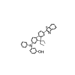 CCC1(CC)c2cc(-c3nc4ccccc4s3)ccc2-c2ccc(N(c3ccccc3)c3cccc(O)c3)cc21